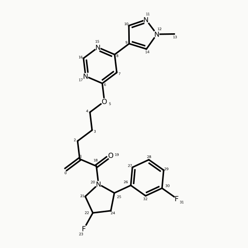 C=C(CCCOc1cc(-c2cnn(C)c2)ncn1)C(=O)N1CC(F)CC1c1cccc(F)c1